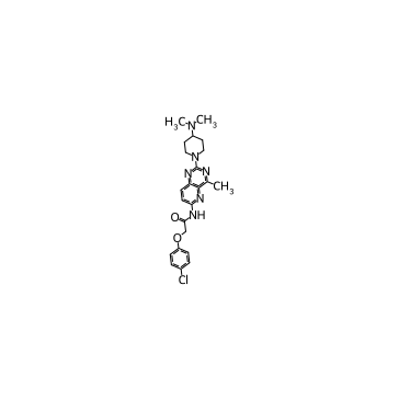 Cc1nc(N2CCC(N(C)C)CC2)nc2ccc(NC(=O)COc3ccc(Cl)cc3)nc12